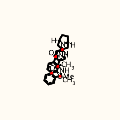 COc1cccc(C(=O)N[C@H]2C[C@H]3CC[C@@H](C2)N3c2ccc(C(=O)N[C@@H](C)c3ccccc3)cn2)c1C